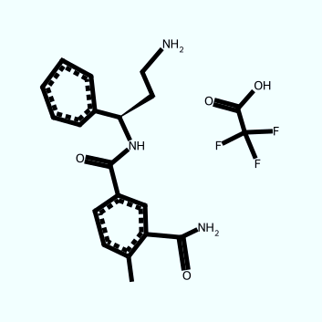 Cc1ccc(C(=O)N[C@H](CCN)c2ccccc2)cc1C(N)=O.O=C(O)C(F)(F)F